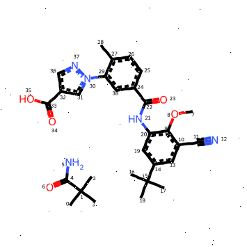 CC(C)(C)C(N)=O.COc1c(C#N)cc(C(C)(C)C)cc1NC(=O)c1ccc(C)c(-n2cc(C(=O)O)cn2)c1